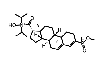 CO[PH](=O)C1=CC2=CC[C@H]3[C@@H]4CC[C@H](C(=O)[N+](O)(C(C)C)C(C)C)[C@@]4(C)CC[C@@H]3[C@@]2(C)CC1